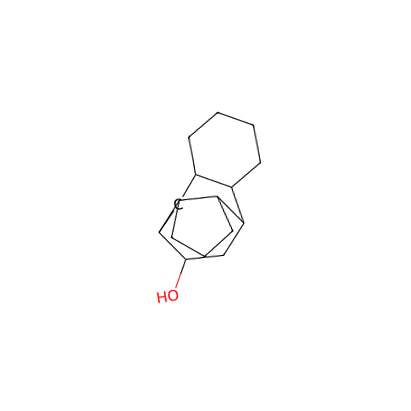 OC1CC2C3CCCCC3CC1C1CCCC12